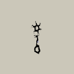 O=C(/C=C/c1ccccc1)Oc1c(F)c(F)c(F)c(F)c1F